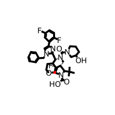 CC(C)(C)C1[C@@H](CN(C(=O)N2CCCC(O)C2)[C@@H](c2nc(-c3cc(F)ccc3F)cn2Cc2ccccc2)C2CCOCC2)[C@@H](F)CN1C(=O)O